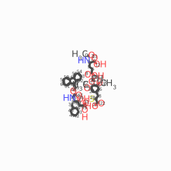 CC(=O)NC(CCC(=O)O)C(=O)O.COc1cc(CC(=S)C(=O)O)cc(OC)c1OC.O=C(O)C[C@H](O)[C@H](CC1CCCCC1)NC(=O)OCC1c2ccccc2-c2ccccc21